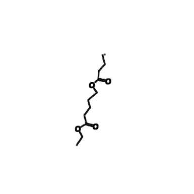 [CH2]CCC(=O)OCCCCC(=O)OCC